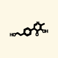 CC1=C(O)C(=O)C(c2ccc(CCO)cc2)C=N1